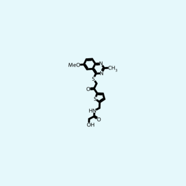 COc1ccc2nc(C)nc(SCC(=O)c3ccc(CNC(=O)CO)s3)c2c1